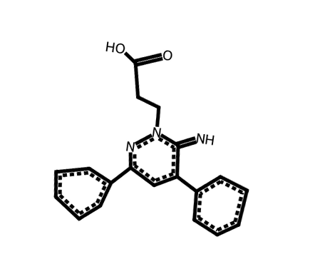 N=c1c(-c2ccccc2)cc(-c2ccccc2)nn1CCC(=O)O